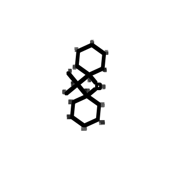 CC1(C)C2(CCCCC2)OC12CCCCC2